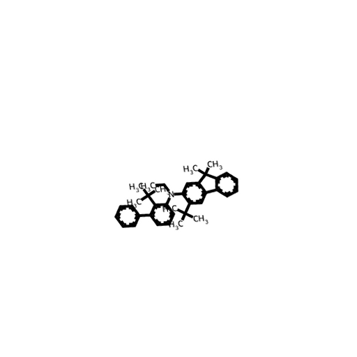 CCN(c1cc2c(cc1C(C)(C)C)-c1ccccc1C2(C)C)c1cccc(-c2ccccc2)c1C(C)(C)C